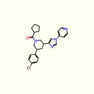 CCc1ccc(C2CC(c3cn(-c4ccncc4)cn3)CN(C(=O)C3CCCC3)C2)cc1